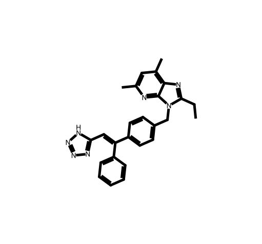 CCc1nc2c(C)cc(C)nc2n1Cc1ccc(C(=Cc2nnn[nH]2)c2ccccc2)cc1